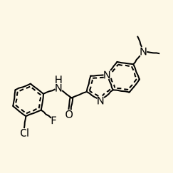 CN(C)c1ccc2nc(C(=O)Nc3cccc(Cl)c3F)cn2c1